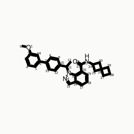 COc1cccc(-c2ccc(C(C)n3ncc4cccc(C(=O)NC5CC6(CCC6)C5)c43)cc2)c1